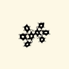 Cc1c(-c2cc3c4c(c2C)N(c2ccccc2)c2ccccc2B4c2ccccc2O3)cc2c3c1N(c1ccccc1)c1ccccc1B3c1ccccc1O2